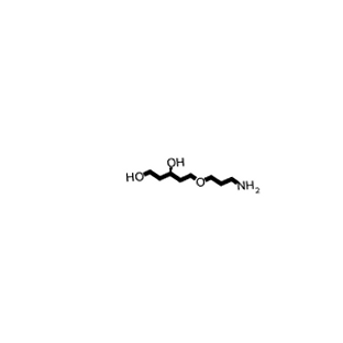 NCCCOCC[C@H](O)CCO